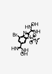 CN(C)S(=O)(=O)n1c(C(=N)NO)nc2c(Br)cc(C(=N)NO)cc21